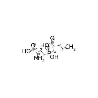 CCCC(CP(=O)(O)CCC(N)C(=O)O)C(=O)O